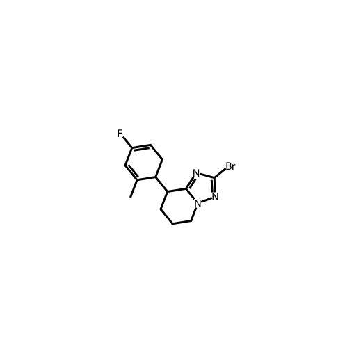 CC1=CC(F)=CCC1C1CCCn2nc(Br)nc21